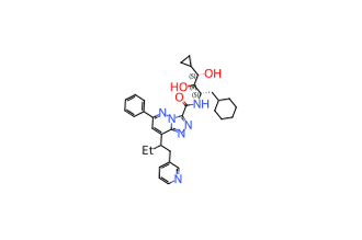 CCC(Cc1cccnc1)c1cc(-c2ccccc2)nn2c(C(=O)N[C@@H](CC3CCCCC3)[C@@H](O)[C@@H](O)C3CC3)nnc12